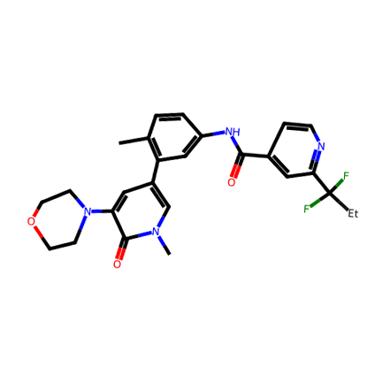 CCC(F)(F)c1cc(C(=O)Nc2ccc(C)c(-c3cc(N4CCOCC4)c(=O)n(C)c3)c2)ccn1